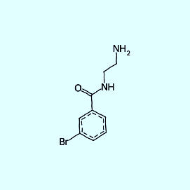 NCCNC(=O)c1cccc(Br)c1